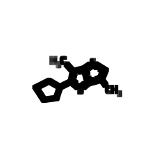 Cc1csc2c(C)c(C3CCCC3)sc12